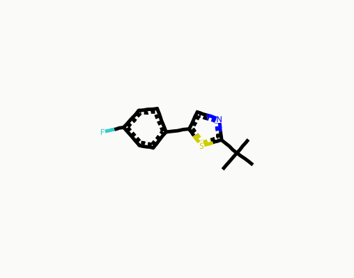 CC(C)(C)c1ncc(-c2ccc(F)cc2)s1